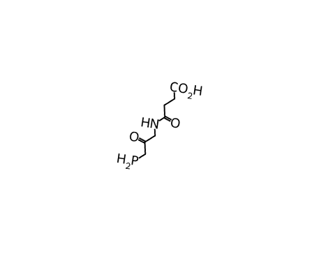 O=C(O)CCC(=O)NCC(=O)CP